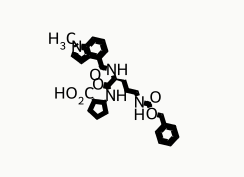 Cn1ccc2c(C(=O)N[C@@H](CCCNC(=O)OCc3ccccc3)C(=O)N[C@H]3CCC[C@H]3C(=O)O)cccc21